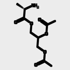 CC(=O)OCC(COC(=O)[C@H](C)N)OC(C)=O